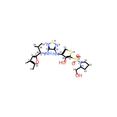 Cc1cc([C@H](Nc2nsnc2Nc2csc(S(=O)(=O)N3CCCC3CO)c2O)C(C)C)oc1C